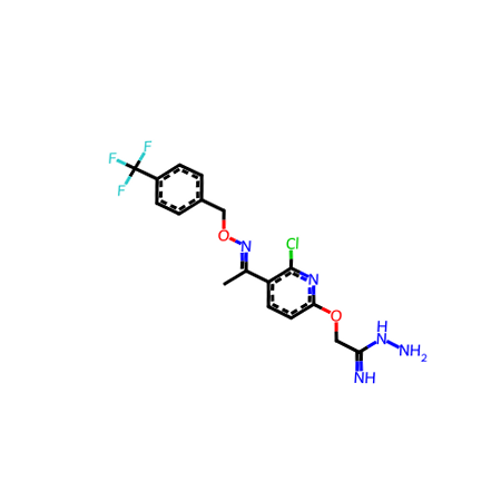 C/C(=N\OCc1ccc(C(F)(F)F)cc1)c1ccc(OCC(=N)NN)nc1Cl